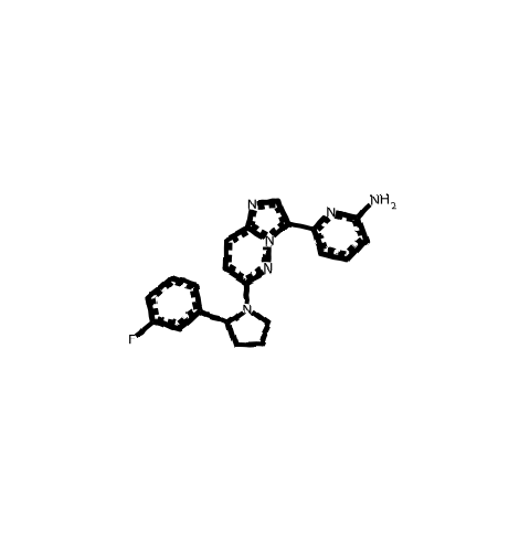 Nc1cccc(-c2cnc3ccc(N4CCCC4c4cccc(F)c4)nn23)n1